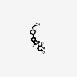 C#CCN1CCC(c2ccc3c(=O)n(C4CCC(=O)NC4=O)[nH]c3c2)CC1